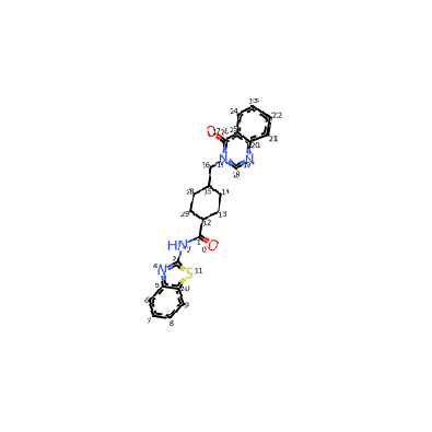 O=C(Nc1nc2ccccc2s1)C1CCC(Cn2cnc3ccccc3c2=O)CC1